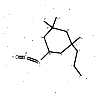 CCCC1(C)CC(N=C=O)CC(C)(C)C1